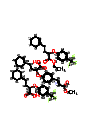 CCOC(=O)C(CCC1=CCCCC1)Oc1ccc(C(F)(F)F)cc1.COC(=O)/C=C/c1ccc(OC(CCC2=CCCCC2)C(=O)O)cc1.O=C(O)C(CCC1=CCCCC1)Oc1ccc(C(F)(F)F)cc1